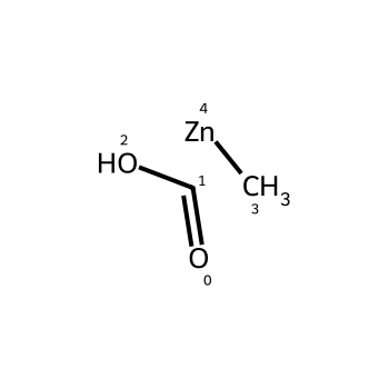 O=CO.[CH3][Zn]